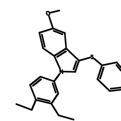 CCc1ccc(-n2cc(Sc3ccccc3)c3cc(OC)ccc32)cc1CC